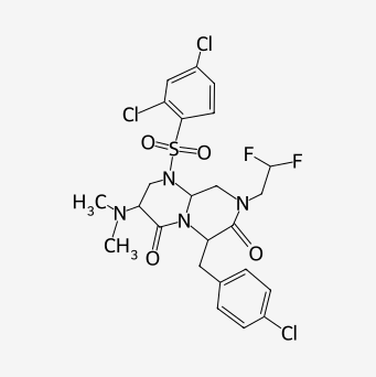 CN(C)C1CN(S(=O)(=O)c2ccc(Cl)cc2Cl)C2CN(CC(F)F)C(=O)C(Cc3ccc(Cl)cc3)N2C1=O